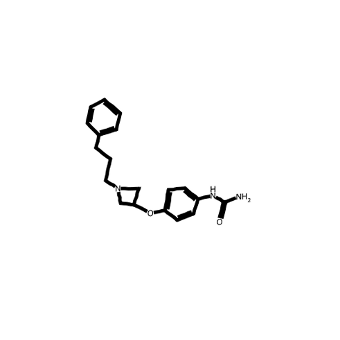 NC(=O)Nc1ccc(OC2CN(CCCc3ccccc3)C2)cc1